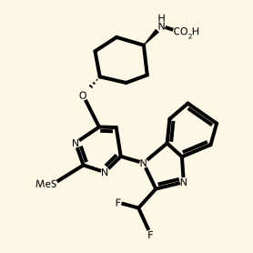 CSc1nc(O[C@H]2CC[C@H](NC(=O)O)CC2)cc(-n2c(C(F)F)nc3ccccc32)n1